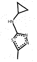 Cc1nnc(NC2CC2)s1